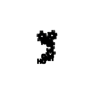 O=C(O)NC1CCN(CCCN2c3ccccc3N(c3ccccc3F)S2(=O)=O)CC1